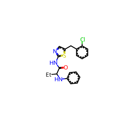 CCC(Nc1ccccc1)C(=O)Nc1ncc(Cc2ccccc2Cl)s1